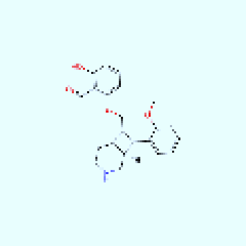 COc1ccccc1C1C(COc2cccc(O)c2C=O)C2CCNC[C@@H]21